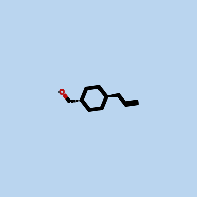 C=CC[C@H]1CC[C@H](C[O])CC1